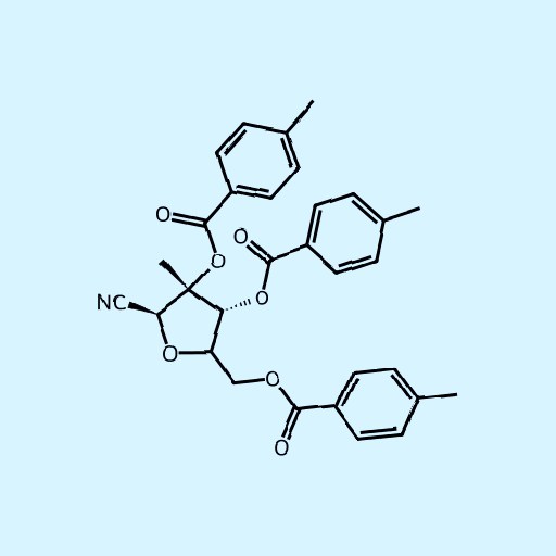 Cc1ccc(C(=O)OCC2O[C@@H](C#N)[C@](C)(OC(=O)c3ccc(C)cc3)[C@@H]2OC(=O)c2ccc(C)cc2)cc1